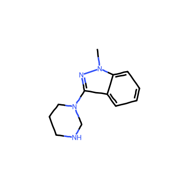 Cn1nc(N2CCCNC2)c2ccccc21